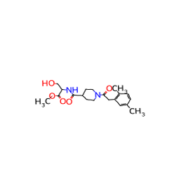 COC(=O)C(CO)NC(=O)C1CCN(C(=O)Cc2cc(C)ccc2C)CC1